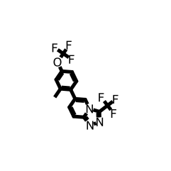 Cc1cc(OC(F)(F)F)ccc1-c1ccc2nnc(C(F)(F)F)n2c1